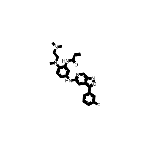 C=CC(=O)Nc1cc(Nc2cc3c(-c4cccc(F)c4)onc3cn2)ccc1N(C)CCN(C)C